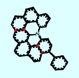 c1ccc(-c2ccc(N(c3cccc4ccc5ccccc5c34)c3cccc4ccc5ccccc5c34)cc2)cc1